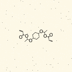 C=CC(=O)OC(C)OC1CCC(OC(C)OC(=O)C=C)CC1